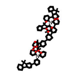 CC1(C)c2ccccc2-c2ccc(-c3cccc(N(c4ccccc4-c4cccc5c4-c4ccc(-c6ccc7c(c6)C(C)(C)c6cc(-c8ccccc8N(c8ccccc8-c8cccc9c8-c8ccccc8C9(C)C)c8cccc9c8C(C)(C)c8ccccc8-9)ccc6-7)cc4C5(C)C)c4cccc5c4C(C)(C)c4ccccc4-5)c3)cc21